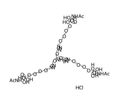 CC(=O)N[C@H]1[C@H]2OC[C@](COCCOCCOCCOCCn3cc(COCC(N)(COCc4cn(CCOCCOCCOCCOC[C@@]56CO[C@@H](O5)[C@H](NC(C)=O)[C@@H](O)[C@H]6O)nn4)COCc4cn(CCOCCOCCOCCOC[C@@]56CO[C@@H](O5)[C@H](NC(C)=O)[C@@H](O)[C@H]6O)nn4)nn3)(O2)[C@H](O)[C@@H]1O.Cl